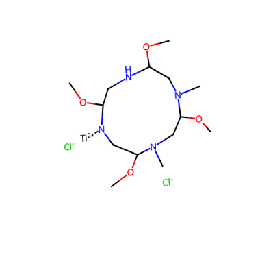 COC1CN(C)C(OC)CN(C)C(OC)C[N]([Ti+2])C(OC)CN1.[Cl-].[Cl-]